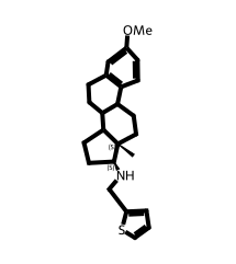 COc1ccc2c(c1)CCC1C2CC[C@@]2(C)C1CC[C@@H]2NCc1cccs1